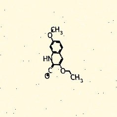 CCOC1=Cc2ccc(OC)cc2NC1=C=O